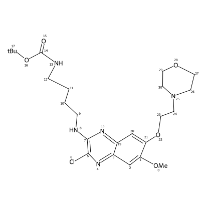 COc1cc2nc(Cl)c(NCCCCNC(=O)OC(C)(C)C)nc2cc1OCCN1CCOCC1